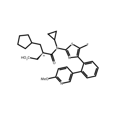 COc1ccc(-c2ccccc2-c2nc(N(C(=O)[C@@H](CC(=O)O)CC3CCCC3)C3CC3)sc2F)cn1